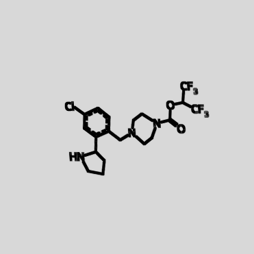 O=C(OC(C(F)(F)F)C(F)(F)F)N1CCN(Cc2ccc(Cl)cc2C2CCCN2)CC1